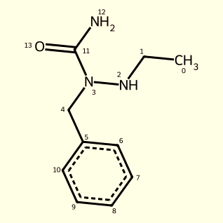 CCNN(Cc1ccccc1)C(N)=O